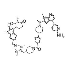 C[C@@H](c1cc2c(-c3ccc(N)nc3)ccnc2n1C)N1CCC(c2ccc(C(=O)N3CCC(CN4[C@@H](C)CN(Cc5ccc6c(c5)n(C)c(=O)n6C5CCC(=O)NC5=O)C[C@@H]4C)CC3)cc2)CC1